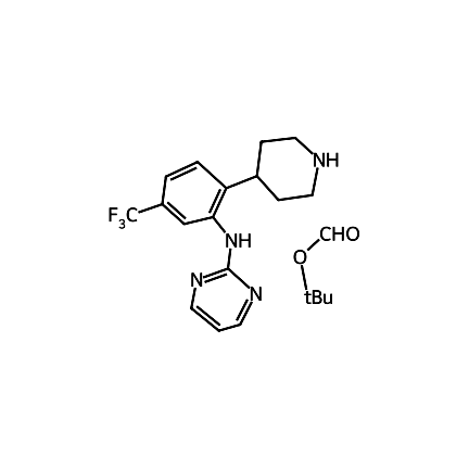 CC(C)(C)OC=O.FC(F)(F)c1ccc(C2CCNCC2)c(Nc2ncccn2)c1